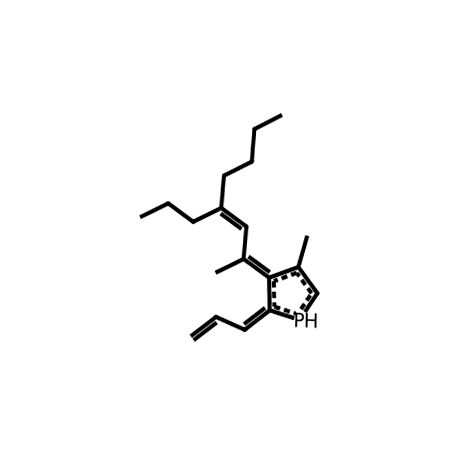 C=C/C=c1/[pH]cc(C)/c1=C(C)\C=C(/CCC)CCCC